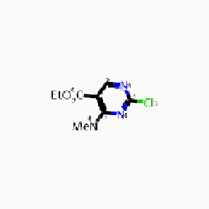 CCOC(=O)c1cnc(Cl)nc1NC